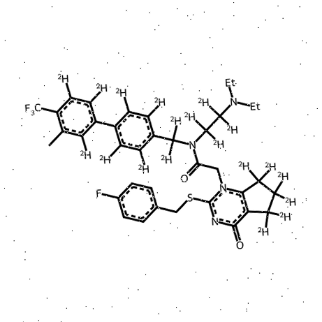 [2H]c1c([2H])c(C([2H])([2H])N(C(=O)Cn2c(SCc3ccc(F)cc3)nc(=O)c3c2C([2H])([2H])C([2H])([2H])C3([2H])[2H])C([2H])([2H])C([2H])([2H])N(CC)CC)c([2H])c([2H])c1-c1c([2H])c([2H])c(C(F)(F)F)c(C)c1[2H]